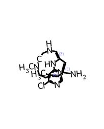 Cc1c(Cl)ncnc1NC1=C\NCCN(C)CC/C=C/C(N)=C\1